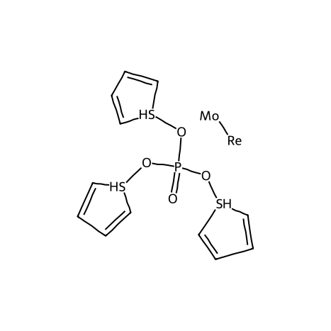 O=P(O[SH]1C=CC=C1)(O[SH]1C=CC=C1)O[SH]1C=CC=C1.[Mo][Re]